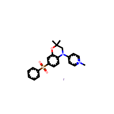 C[n+]1ccc(N2CC(C)(C)Oc3cc(S(=O)(=O)c4ccccc4)ccc32)cc1.[I-]